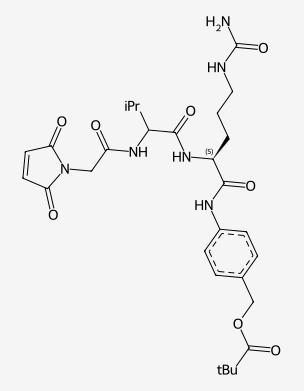 CC(C)C(NC(=O)CN1C(=O)C=CC1=O)C(=O)N[C@@H](CCCNC(N)=O)C(=O)Nc1ccc(COC(=O)C(C)(C)C)cc1